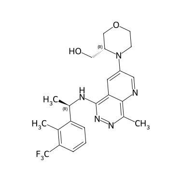 Cc1c([C@@H](C)Nc2nnc(C)c3ncc(N4CCOC[C@H]4CO)cc23)cccc1C(F)(F)F